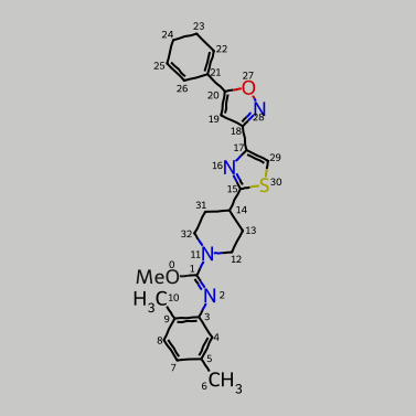 COC(=Nc1cc(C)ccc1C)N1CCC(c2nc(-c3cc(C4=CCCC=C4)on3)cs2)CC1